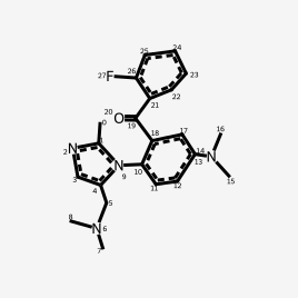 Cc1ncc(CN(C)C)n1-c1ccc(N(C)C)cc1C(=O)c1ccccc1F